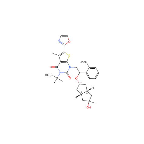 COc1ccccc1C(Cn1c(=O)n(C(C)(C)C(=O)O)c(=O)c2c(C)c(-c3ncco3)sc21)O[C@@H]1C[C@@H]2CC(C)(O)C[C@@H]2C1